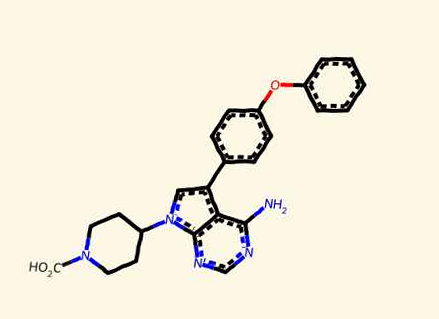 Nc1ncnc2c1c(-c1ccc(Oc3ccccc3)cc1)cn2C1CCN(C(=O)O)CC1